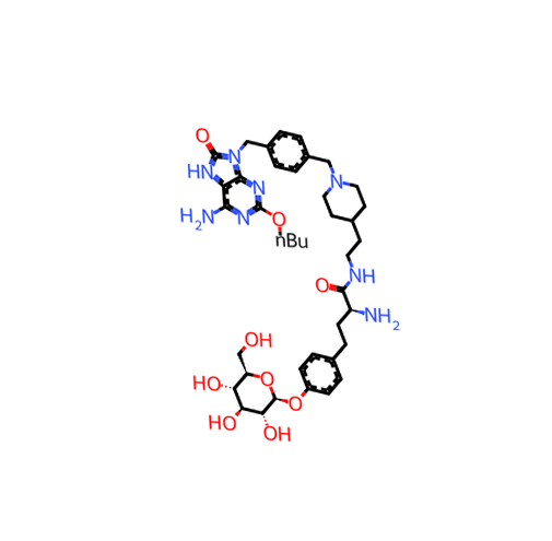 CCCCOc1nc(N)c2[nH]c(=O)n(Cc3ccc(CN4CCC(CCNC(=O)[C@@H](N)CCc5ccc(O[C@@H]6O[C@H](CO)[C@@H](O)[C@H](O)[C@H]6O)cc5)CC4)cc3)c2n1